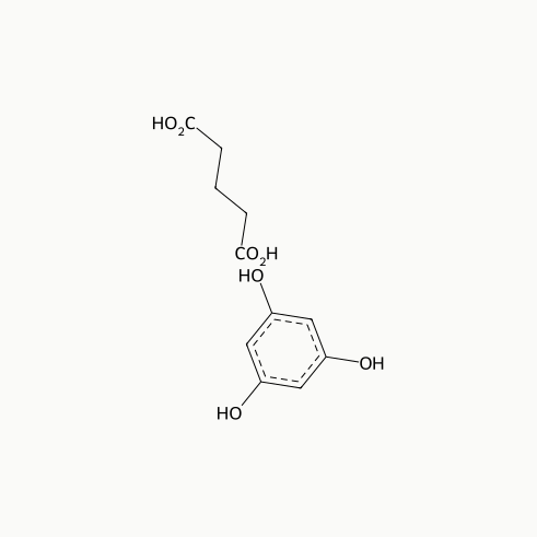 O=C(O)CCCC(=O)O.Oc1cc(O)cc(O)c1